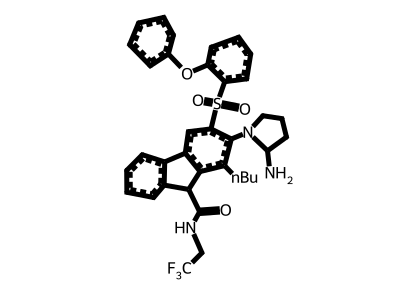 CCCCc1c2c(cc(S(=O)(=O)c3ccccc3Oc3ccccc3)c1N1CCCC1N)-c1ccccc1C2C(=O)NCC(F)(F)F